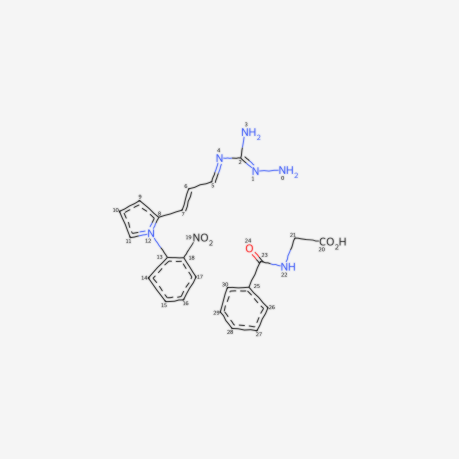 NN=C(N)N=CC=Cc1cccn1-c1ccccc1[N+](=O)[O-].O=C(O)CNC(=O)c1ccccc1